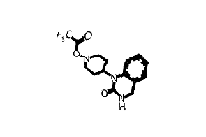 O=C1NCc2ccccc2N1C1CCN(OC(=O)C(F)(F)F)CC1